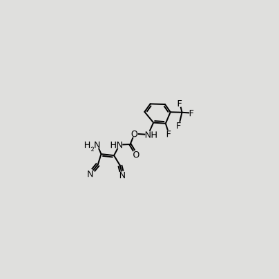 N#CC(N)=C(C#N)NC(=O)ONc1cccc(C(F)(F)F)c1F